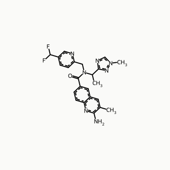 Cc1cc2cc(C(=O)N(Cc3ccc(C(F)F)cn3)C(C)c3ncn(C)n3)ccc2nc1N